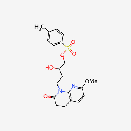 COc1ccc2c(n1)N(CCC(O)COS(=O)(=O)c1ccc(C)cc1)C(=O)CC2